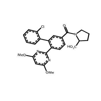 COc1cc(OC)nc(-c2ccc(C(=O)N3CCCC3C(=O)O)cc2-c2ccccc2Cl)n1